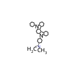 C=C/C(=C\C)c1ccc(-n2c3ccccc3c3c4c5ccccc5n(-c5ccccc5)c4ccc32)cc1